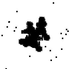 CCCCO[C@H](C(=O)N[C@@H]1C[C@H](N)[C@@H](O[C@H]2O[C@@H]3CN(C(=O)OCc4ccccc4)C(c4ccccc4)O[C@H]3C[C@H]2NC(=O)OCc2ccccc2)[C@H](O[C@@H]2O[C@H](CO)[C@@H](O[C@H]3O[C@H]4CN(C(=O)OCc5ccccc5)C(c5ccccc5)O[C@H]4[C@H](O)[C@H]3NC(=O)OCc3ccccc3)[C@H]2O)[C@H]1O)C(F)(F)CN=[N+]=[N-]